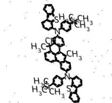 Cc1c2c3c(cccc3c3cc(N(c4ccc([Si](C)(C)C)cc4)c4cccc5c4sc4ccccc45)ccc13)C(C)(C)c1cc(N(c3ccc([Si](C)(C)C)cc3)c3cccc4c3sc3ccccc34)ccc1-2